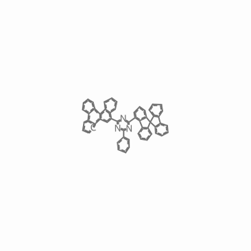 c1ccc(-c2nc(-c3cccc4c3-c3ccccc3C43c4ccccc4-c4ccccc43)nc(-c3cc4c5ccccc5c5ccccc5c4c4ccccc34)n2)cc1